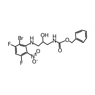 O=C(NCC(O)CNc1c(Br)c(F)cc(F)c1[N+](=O)[O-])OCc1ccccc1